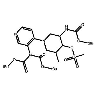 CC1CN(c2ccncc2N(C(=O)OC(C)(C)C)C(=O)OC(C)(C)C)CC(NC(=O)OC(C)(C)C)C1OS(C)(=O)=O